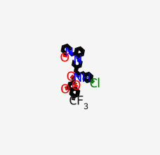 O=C(N[C@@H](C=C1CCN(c2ccccc2CN2CCCCC2=O)CC1)Cc1ccc(Cl)cc1)c1cc(=O)c2cc(C(F)(F)F)ccc2o1